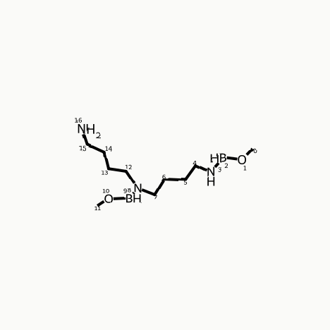 COBNCCCCN(BOC)CCCCN